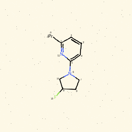 CC(C)c1cccc(N2CCC(F)C2)n1